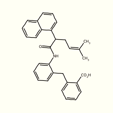 CC(C)=CCC(C(=O)Nc1ccccc1Cc1ccccc1C(=O)O)c1cccc2ccccc12